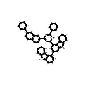 c1ccc(C2=NC(c3ccc4ccc(-c5ccccc5)cc4c3)=NC(c3cc(-c4cccc5oc6ccccc6c45)cc4oc5ccccc5c34)N2)cc1